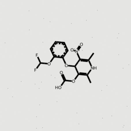 CC1=C(OC(=O)O)C(Oc2ccccc2OC(F)F)C([N+](=O)[O-])=C(C)N1